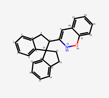 C1=C(C2Cc3ccccc3C23CCc2ccccc23)NOc2ccccc21